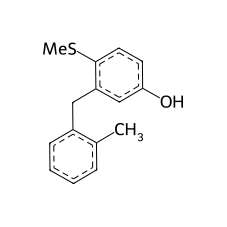 CSc1ccc(O)cc1Cc1ccccc1C